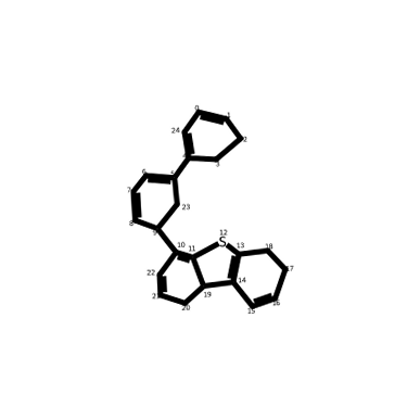 C1=CCCC(C2=CC=CC(C3=C4SC5=C(C=CCC5)C4CC=C3)C2)=C1